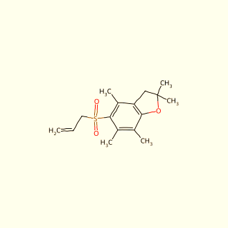 C=CCS(=O)(=O)c1c(C)c(C)c2c(c1C)CC(C)(C)O2